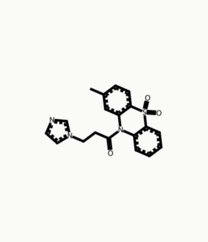 Cc1ccc2c(c1)N(C(=O)CCn1ccnc1)c1ccccc1S2(=O)=O